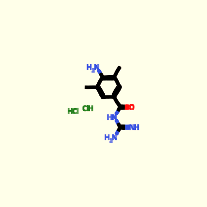 Cc1cc(C(=O)NC(=N)N)cc(C)c1N.Cl.Cl